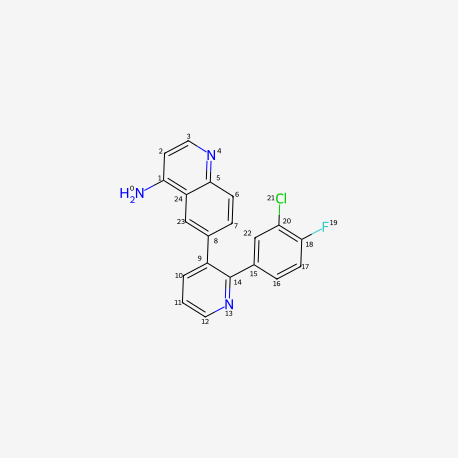 Nc1ccnc2ccc(-c3cccnc3-c3ccc(F)c(Cl)c3)cc12